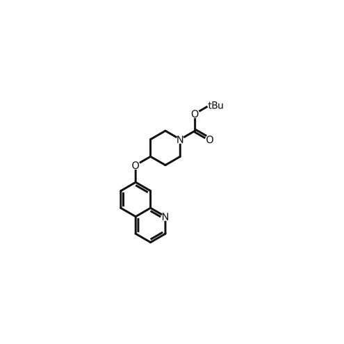 CC(C)(C)OC(=O)N1CCC(Oc2ccc3cccnc3c2)CC1